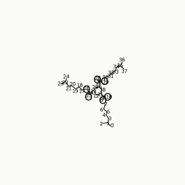 CC(C)CCCCCOC(=O)C1CC(C(=O)OCCCCCC(C)C)CC(C(=O)OCCCCCC(C)C)C1